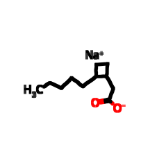 CCCCCC1CCC1CC(=O)[O-].[Na+]